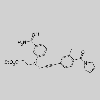 CCOC(=O)CCN(CC#Cc1ccc(C(=O)N2CC=CC2)c(C)c1)c1cccc(C(=N)N)c1